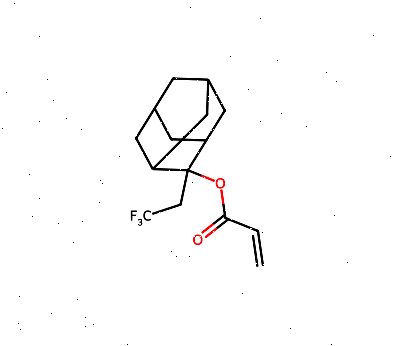 C=CC(=O)OC1(CC(F)(F)F)C2CC3CC(C2)CC1C3